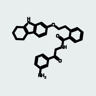 Nc1cccc(C(=O)CNC(=O)c2ccccc2CCOc2ccc3c4c([nH]c3c2)CCCC4)c1